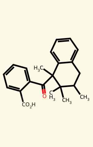 CC1Cc2ccccc2C(C)(C(=O)c2ccccc2C(=O)O)C1(C)C